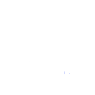 O=c1[nH]ccc2ccccc12.Oc1nccc2ccccc12